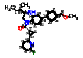 CC[C@H](C)[C@H](N)CN(C(=O)[C@@H]1C[C@H]1c1cccc(F)n1)c1ccc(-c2ccc(COC)cc2)cc1